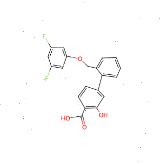 O=C(O)c1ccc(-c2ccccc2COc2cc(F)cc(F)c2)cc1O